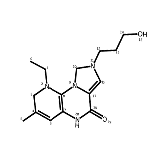 CCN1CC(C)=CC2=C1N1CN(CCCO)C=C1C(=O)N2